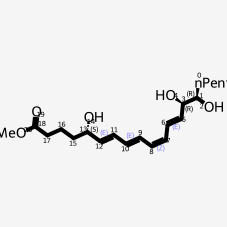 CCCCC[C@@H](O)[C@H](O)/C=C/C=C\C=C\C=C\[C@@H](O)CCCC(=O)OC